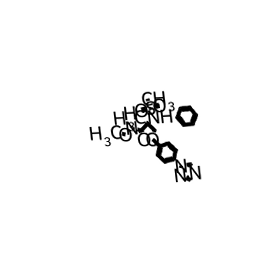 CONC(=O)C(C)(COc1ccc(-n2cncn2)cc1)NS(C)(=O)=O.c1ccccc1